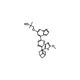 COc1ncc(CN2C3CC2CN(c2ccc(-c4cc(OCC(C)(C)O)cn5nccc45)cn2)C3)s1